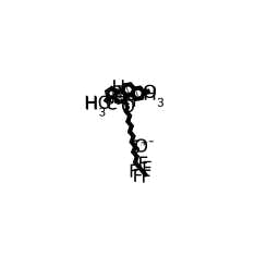 C[C@]12CCC(=O)CC1CC[C@@H]1[C@H]2C(OCCCCCCC[S+]([O-])CCCC(F)(F)C(F)(F)F)C[C@]2(C)C(O)CC[C@@H]12